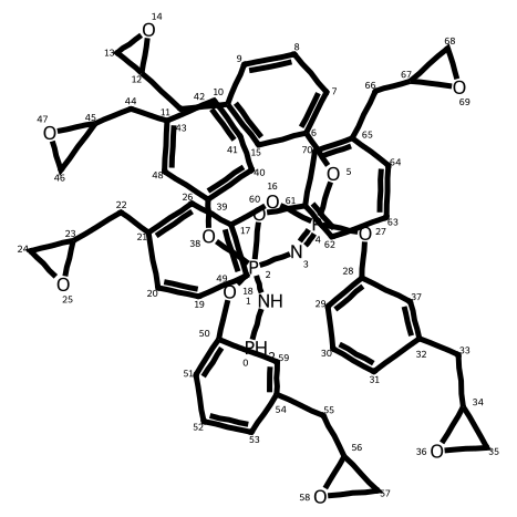 PNP(N=P(Oc1cccc(CC2CO2)c1)(Oc1cccc(CC2CO2)c1)Oc1cccc(CC2CO2)c1)(Oc1cccc(CC2CO2)c1)(Oc1cccc(CC2CO2)c1)Oc1cccc(CC2CO2)c1